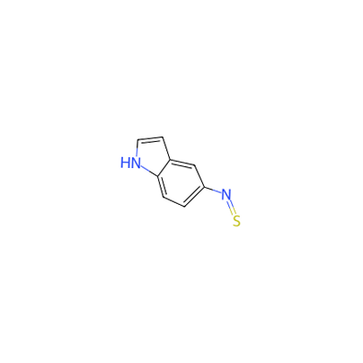 S=Nc1ccc2[nH]ccc2c1